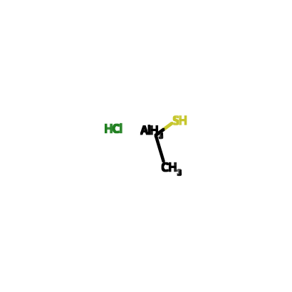 CCS.Cl.[AlH3]